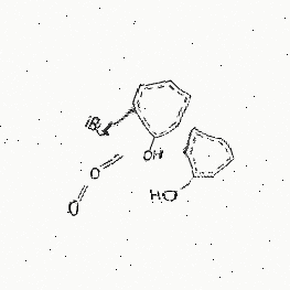 C=O.C=O.CCC(C)c1ccccc1O.Oc1ccccc1